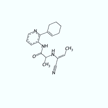 C/C=C(/C#N)NC(C)C(=O)Nc1cccnc1C1=CCCCC1